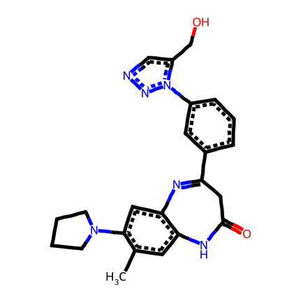 Cc1cc2c(cc1N1CCCC1)N=C(c1cccc(-n3nncc3CO)c1)CC(=O)N2